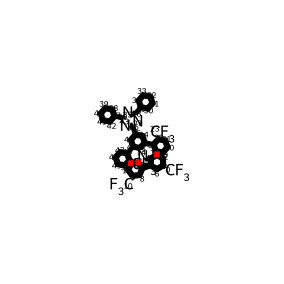 FC(F)(F)c1ccc2c(c1)c1cc(C(F)(F)F)ccc1n2-c1c(-c2ccccc2C(F)(F)F)cc(-c2nc(-c3ccccc3)nc(-c3ccccc3)n2)cc1-c1ccccc1C(F)(F)F